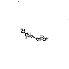 COc1cc(-c2cc(C)c(=O)n(C)c2)cc(OC)c1CN1CC(C)(C#Cc2ccc3c(c2)C(=O)N(C2CCC(=O)NC2=O)C3)C1